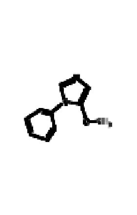 COc1cncn1-c1ccccc1